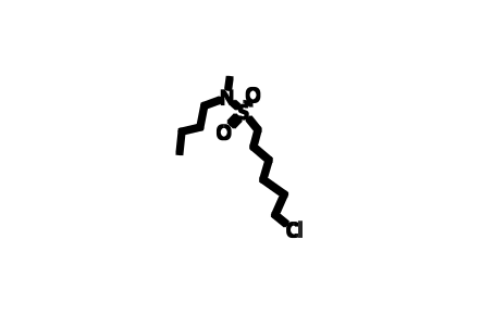 CCCCN(C)S(=O)(=O)CCCCCCCl